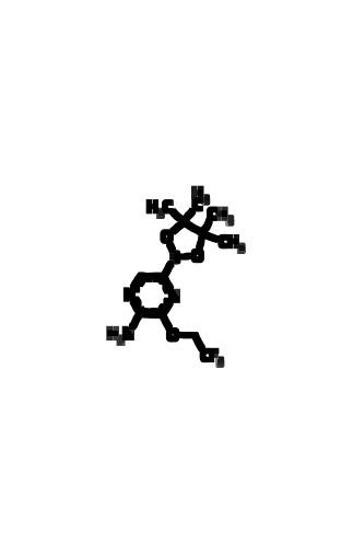 CC1(C)OB(c2cnc(N)c(OCC(F)(F)F)n2)OC1(C)C